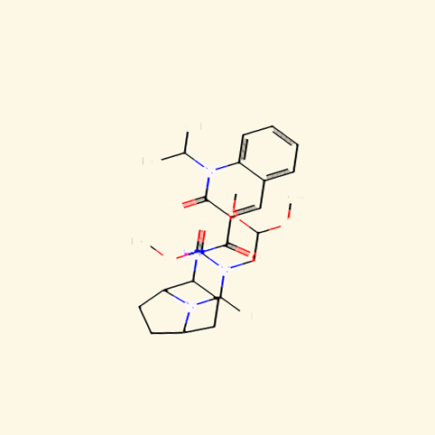 COC(=O)N(CC(OC)OC)C(C)N1C2CCC(NC(=O)c3cc4ccccc4n(C(C)C)c3=O)C1CC2